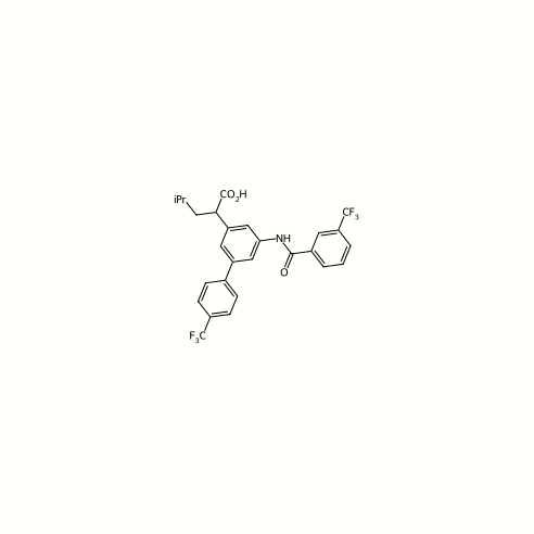 CC(C)CC(C(=O)O)c1cc(NC(=O)c2cccc(C(F)(F)F)c2)cc(-c2ccc(C(F)(F)F)cc2)c1